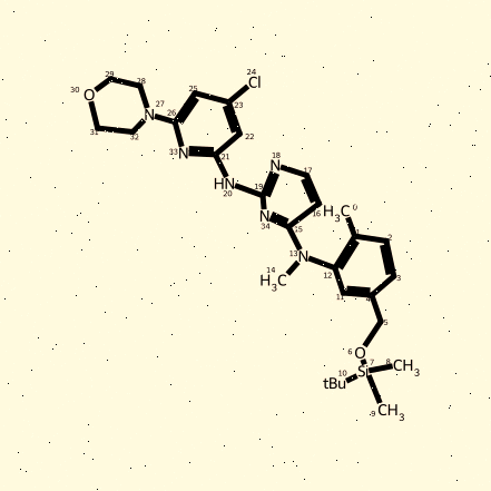 Cc1ccc(CO[Si](C)(C)C(C)(C)C)cc1N(C)c1ccnc(Nc2cc(Cl)cc(N3CCOCC3)n2)n1